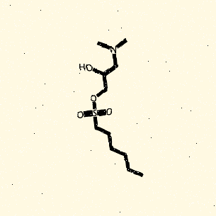 CCCCCCS(=O)(=O)OCC(O)CN(C)C